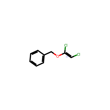 Cl/C=C(\Cl)OCc1ccccc1